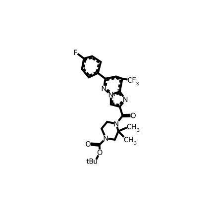 CC(C)(C)OC(=O)N1CCN(C(=O)c2cn3nc(-c4ccc(F)cc4)cc(C(F)(F)F)c3n2)C(C)(C)C1